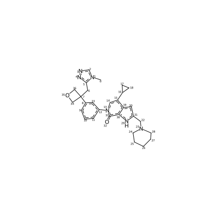 Cn1cnnc1CC1(c2cccc(-n3cc(C4CC4)c4cc(CN5CCCCC5)[nH]c4c3=O)c2)COC1